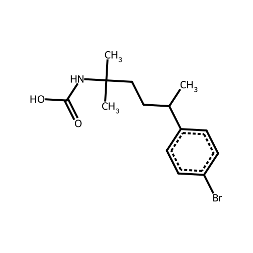 CC(CCC(C)(C)NC(=O)O)c1ccc(Br)cc1